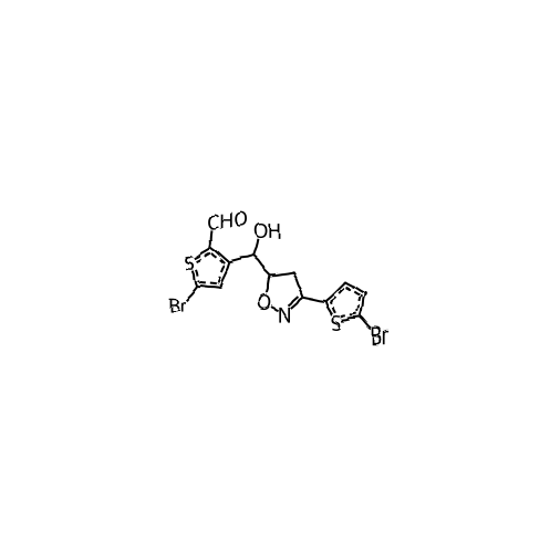 O=Cc1sc(Br)cc1C(O)C1CC(c2ccc(Br)s2)=NO1